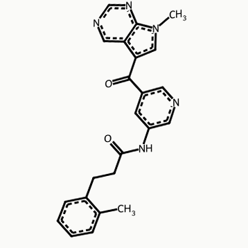 Cc1ccccc1CCC(=O)Nc1cncc(C(=O)c2cn(C)c3ncncc23)c1